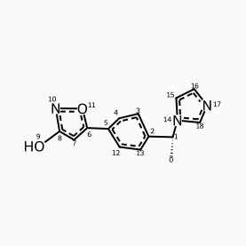 C[C@H](c1ccc(-c2cc(O)no2)cc1)n1ccnc1